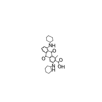 Cc1c(C(=O)O)c(NC2CCCCC2)cc2c1C(=O)c1c(NC3CCCCC3)cccc1C2=O